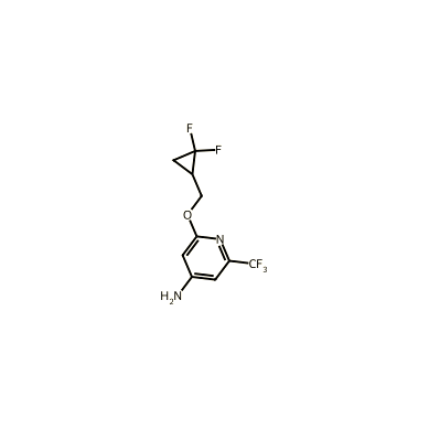 Nc1cc(OCC2CC2(F)F)nc(C(F)(F)F)c1